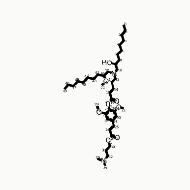 CCCCCCCCC(O)CN(CCCCC(=O)Oc1c(OC)cc(/C=C/C(=O)OCCCN(C)C)cc1OC)CC(CCCCCCCC)OC